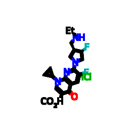 CCNC[C@@H]1CN(c2nc3c(cc2F)c(=O)c(C(=O)O)cn3C2CC2)C[C@@H]1F.Cl